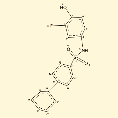 O=S(=O)(Nc1ccc(O)c(F)c1)c1ccc(-c2ccccc2)cc1